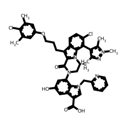 Cc1cc(OCCCc2c3n(c4c(-c5c(C)nn(C)c5C)c(Cl)ccc24)[C@H](C)CN(c2cc(O)cc4c(C(=O)O)cn(Cc5ccccn5)c24)C3=O)cc(C)c1Cl